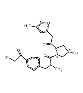 Cc1cc(CC(=O)N2C[C@H](O)C[C@H]2C(=O)N(C)Cc2ccc(C(=O)CC(C)C)cc2)on1